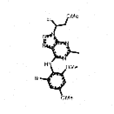 CCC(COC)n1nnc2c(Nc3c(Br)cc(OC)cc3OC)nc(C)nc21